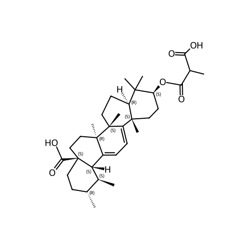 CC(C(=O)O)C(=O)O[C@H]1CC[C@]2(C)C3=CC=C4[C@@H]5[C@@H](C)[C@H](C)CC[C@]5(C(=O)O)CC[C@@]4(C)[C@]3(C)CC[C@H]2C1(C)C